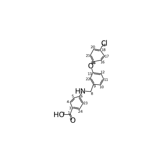 O=C(O)c1ccc(NCc2cccc(Oc3ccc(Cl)cc3)c2)cc1